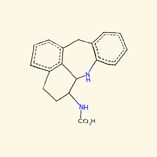 O=C(O)NC1CCc2cccc3c2C1Nc1ccccc1C3